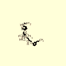 C=CCc1cccc(OCC(O)CNC(C)(C)COc2ccc(NN)nn2)c1.Cl